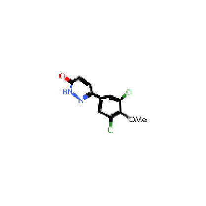 COc1c(Cl)cc(-c2ccc(=O)[nH]n2)cc1Cl